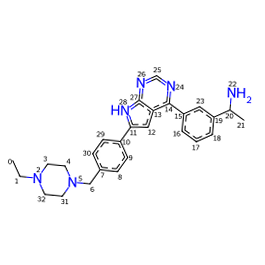 CCN1CCN(Cc2ccc(-c3cc4c(-c5cccc(C(C)N)c5)ncnc4[nH]3)cc2)CC1